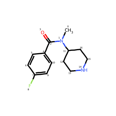 CN(C(=O)c1ccc(F)cc1)C1CCNCC1